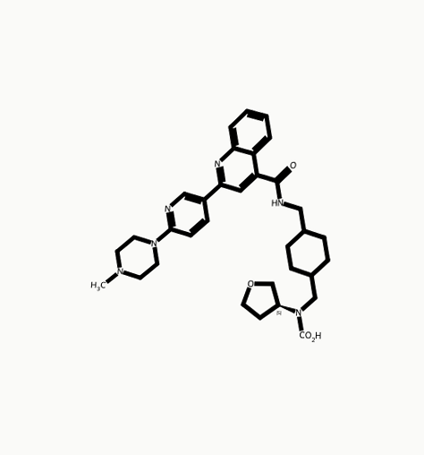 CN1CCN(c2ccc(-c3cc(C(=O)NCC4CCC(CN(C(=O)O)[C@H]5CCOC5)CC4)c4ccccc4n3)cn2)CC1